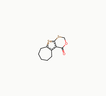 O=C1OCSc2sc3c(c21)CCCCC3